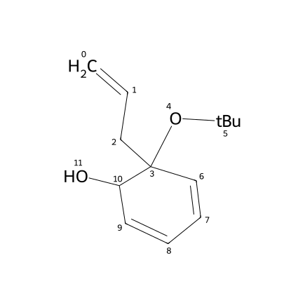 C=CCC1(OC(C)(C)C)C=CC=CC1O